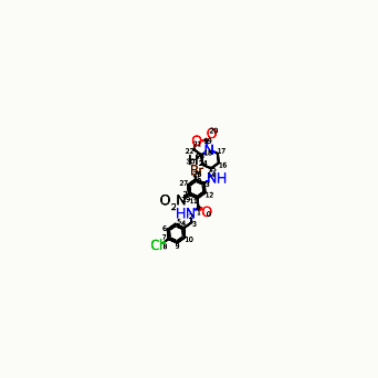 O=C(NCc1ccc(Cl)cc1)c1cc(N[C@H]2CCN3C(=O)OC[C@@H]3C2)c(Br)cc1[N+](=O)[O-]